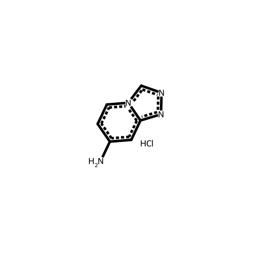 Cl.Nc1ccn2cnnc2c1